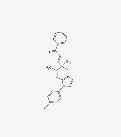 CC1=Cc2c(cnn2-c2ccc(F)cc2)CC1(C)/C=C/C(=O)c1ccccc1